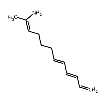 C=CC=CC=CCCCC=C(C)N